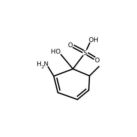 CC1C=CC=C(N)C1(O)S(=O)(=O)O